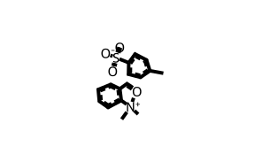 C[N+](C)(C)c1ccccc1C=O.Cc1ccc(S(=O)(=O)[O-])cc1